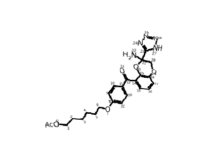 CC(=O)OCCCCCCOc1ccc(C(=O)c2cccc3c2OC(N)(c2nnn[nH]2)CO3)cc1